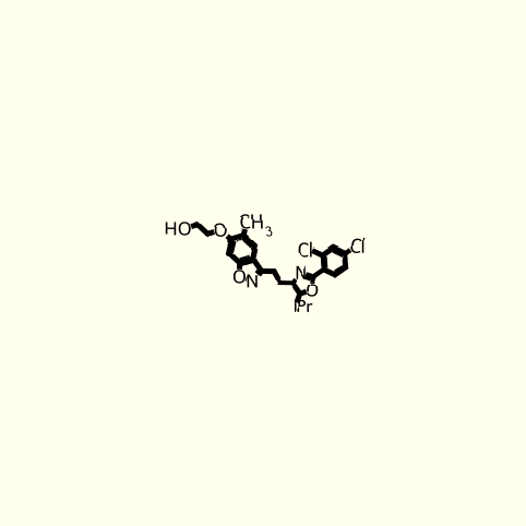 Cc1cc2c(CCC3N=C(c4ccc(Cl)cc4Cl)OC3C(C)C)noc2cc1OCCO